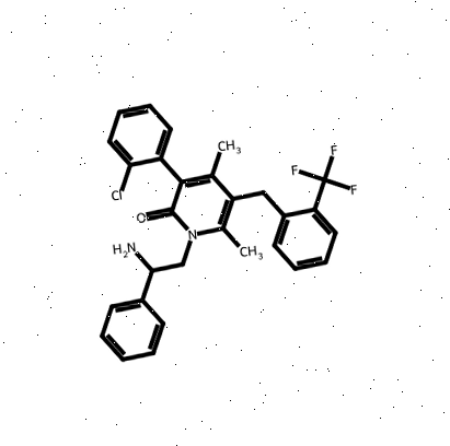 Cc1c(Cc2ccccc2C(F)(F)F)c(C)n(CC(N)c2ccccc2)c(=O)c1-c1ccccc1Cl